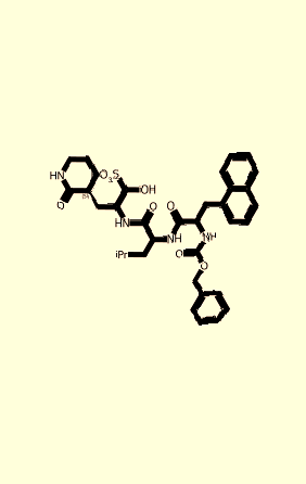 CC(C)CC(NC(=O)C(Cc1cccc2ccccc12)NC(=O)OCc1ccccc1)C(=O)NC(C[C@@H]1CCCNC1=O)C(O)S(=O)(=O)O